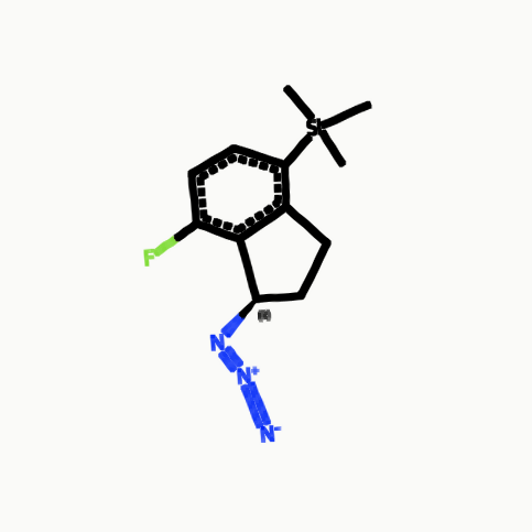 C[Si](C)(C)c1ccc(F)c2c1CC[C@H]2N=[N+]=[N-]